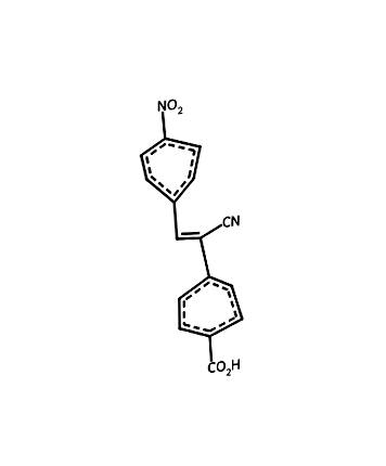 N#C/C(=C\c1ccc([N+](=O)[O-])cc1)c1ccc(C(=O)O)cc1